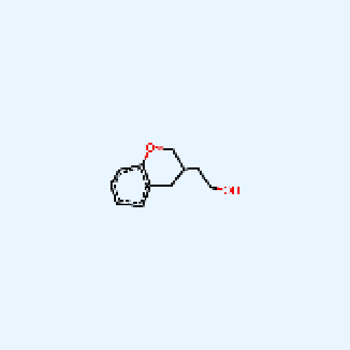 OCCC1COc2ccccc2C1